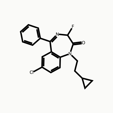 O=C1C(F)N=C(c2ccccc2)c2cc(Cl)ccc2N1CCC1CC1